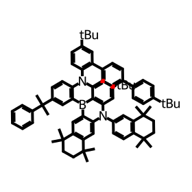 CC(C)(C)c1ccc(-c2ccc(-c3cc(C(C)(C)C)ccc3N3c4ccc(C(C)(C)c5ccccc5)cc4B4c5cc6c(cc5N(c5ccc7c(c5)C(C)(C)CCC7(C)C)c5cc(C(C)(C)C)cc3c54)C(C)(C)CCC6(C)C)cc2)cc1